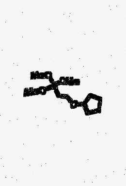 CO[Si](CCOC1CCCC1)(OC)OC